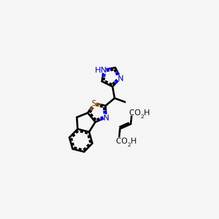 CC(c1c[nH]cn1)c1nc2c(s1)Cc1ccccc1-2.O=C(O)/C=C/C(=O)O